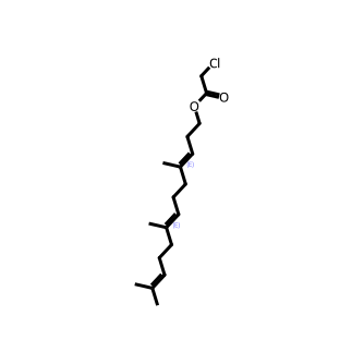 CC(C)=CCC/C(C)=C/CC/C(C)=C/CCOC(=O)CCl